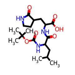 CC(C)CC(NC(=O)OC(C)(C)C)C(=O)NC(CC1CCNC1=O)C(=O)O